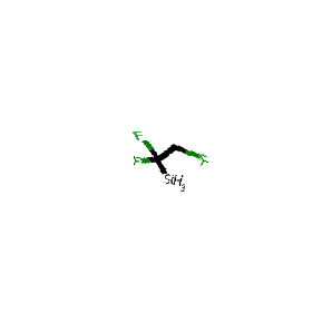 FCC(F)(F)[SiH3]